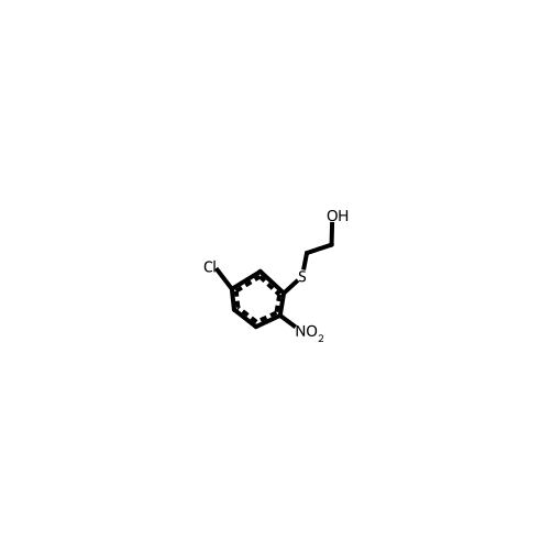 O=[N+]([O-])c1ccc(Cl)cc1SCCO